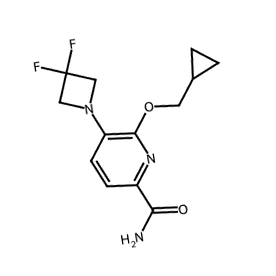 NC(=O)c1ccc(N2CC(F)(F)C2)c(OCC2CC2)n1